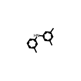 Cc1cccc(Nc2cc(C)cc(C)c2)c1